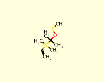 C=CS(C)(C)C(C)(C)OSC